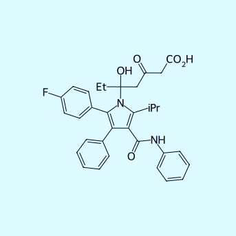 CCC(O)(CC(=O)CC(=O)O)n1c(-c2ccc(F)cc2)c(-c2ccccc2)c(C(=O)Nc2ccccc2)c1C(C)C